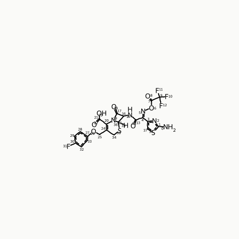 Nc1nc(C(=NOC(=O)C(F)(F)F)C(=O)NC2C(=O)N3C(C(=O)O)=C(COc4ccc(F)cc4)CS[C@@H]23)cs1